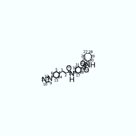 O=C(/C=C/c1ccc(-n2ccnc2)cc1)Nc1ccc(S(=O)(=O)NC2CCCCCC2)cc1